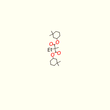 CCC(C)(C(=O)OC1CCCC(C)(C)C1)C(=O)OC1CCCC(C)(C)C1